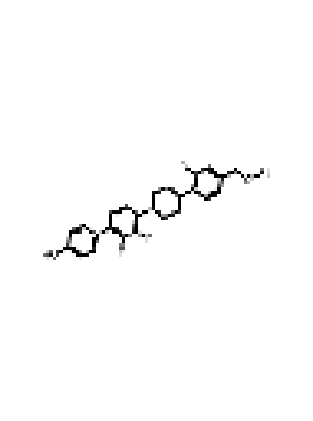 CCOCc1ccc(C2CCC(c3ccc(-c4ccc(O)cc4)c(F)c3F)CC2)c(F)c1